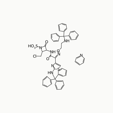 O=C(NC1C(=O)N(S(=O)(=O)O)C1CCl)/C(=N\OCCNC(c1ccccc1)(c1ccccc1)c1ccccc1)c1csc(NC(c2ccccc2)(c2ccccc2)c2ccccc2)n1.c1ccncc1